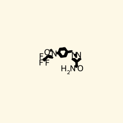 NC(=O)c1cnn(Cc2ccc(N3C=C(C(F)(F)F)OC3)cc2)c1